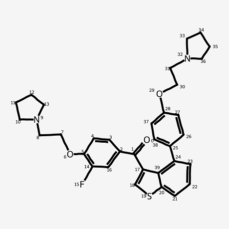 O=C(c1ccc(OCCN2CCCC2)c(F)c1)c1csc2cccc(-c3ccc(OCCN4CCCC4)cc3)c12